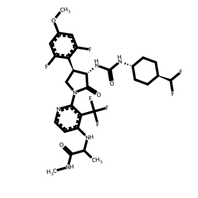 CNC(=O)C(C)Nc1ccnc(N2C[C@@H](c3c(F)cc(OC)cc3F)[C@H](NC(=O)N[C@H]3CC[C@H](C(F)F)CC3)C2=O)c1C(F)(F)F